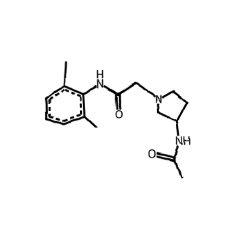 CC(=O)NC1CCN(CC(=O)Nc2c(C)cccc2C)C1